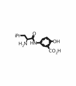 CC(C)C[C@H](N)C(=O)Nc1ccc(O)c(C(=O)O)c1